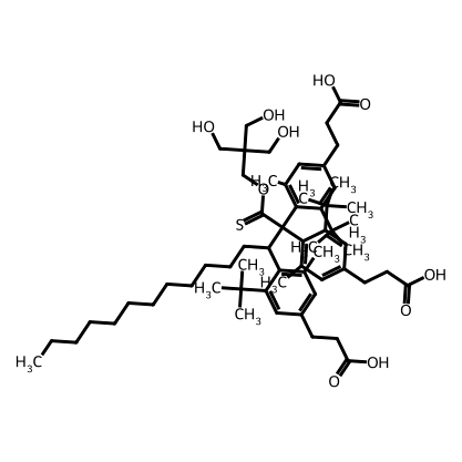 CCCCCCCCCCCCC(c1c(C)cc(CCC(=O)O)cc1C(C)(C)C)C(C(=S)OCC(CO)(CO)CO)(c1c(C)cc(CCC(=O)O)cc1C(C)(C)C)c1c(C)cc(CCC(=O)O)cc1C(C)(C)C